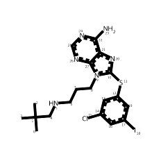 CC(C)(C)CNCCCn1c(Sc2cc(Cl)cc(I)c2)nc2c(N)ncnc21